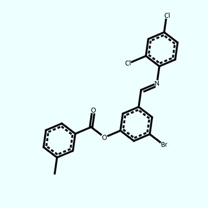 Cc1cccc(C(=O)Oc2cc(Br)cc(C=Nc3ccc(Cl)cc3Cl)c2)c1